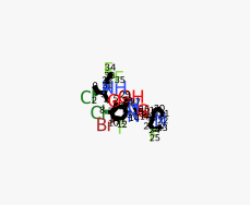 C=C(Cl)C(COc1c(Cl)c(Br)c(F)c2nc(OC[C@@]34CCCN3C[C@H](F)C4)nc(O)c12)NCC(F)F